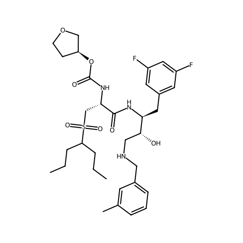 CCCC(CCC)S(=O)(=O)C[C@H](NC(=O)O[C@H]1CCOC1)C(=O)N[C@@H](Cc1cc(F)cc(F)c1)[C@H](O)CNCc1cccc(C)c1